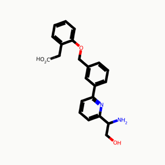 NC(CO)c1cccc(-c2cccc(COc3ccccc3CC(=O)O)c2)n1